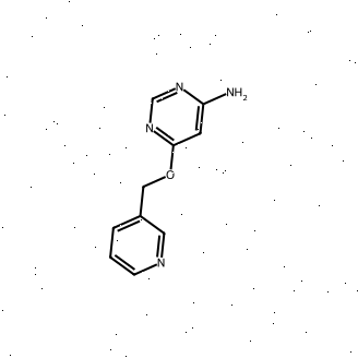 Nc1cc(OCc2cccnc2)ncn1